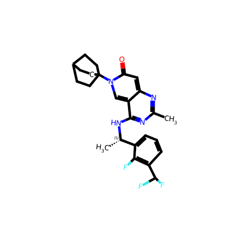 Cc1nc(N[C@@H](C)c2cccc(C(F)F)c2F)c2cn(C34CCC(CC3)CC4)c(=O)cc2n1